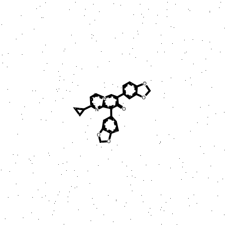 O=c1c(-c2ccc3c(c2)OCO3)cn2ccc(C3CC3)nc2c1-c1ccc2c(c1)OCO2